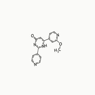 COc1cc(-c2cc(=O)nc(-c3ccncc3)[nH]2)ccn1